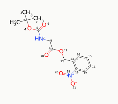 CC(C)(C)OC(=O)NCC(=O)OCc1ccccc1[N+](=O)[O-]